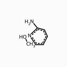 CO.Nc1ccccn1